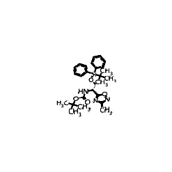 Cc1noc([C@@H](CO[Si](c2ccccc2)(c2ccccc2)C(C)(C)C)NC(=O)OC(C)(C)C)n1